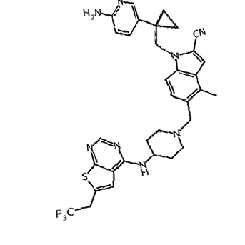 Cc1c(CN2CCC(Nc3ncnc4sc(CC(F)(F)F)cc34)CC2)ccc2c1cc(C#N)n2CC1(c2ccc(N)nc2)CC1